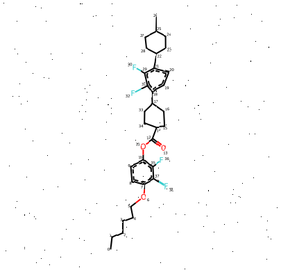 CCCCCCOc1ccc(OC(=O)C2CCC(c3ccc(C4CCC(C)CC4)c(F)c3F)CC2)c(F)c1F